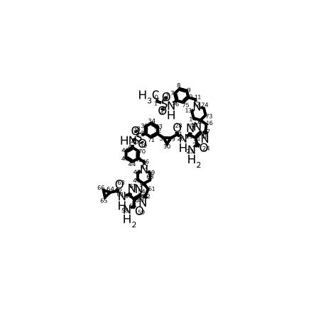 CCS(=O)(=O)Nc1cccc(CN2CCC(CC#N)(n3cc(C(N)=O)c(NC(=O)C4CC4c4cccc(S(=O)(=O)Nc5cccc(CN6CCC(CC#N)(n7cc(C(N)=O)c(NC(=O)C8CC8)n7)CC6)c5)c4)n3)CC2)c1